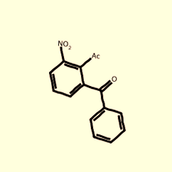 CC(=O)c1c(C(=O)c2ccccc2)cccc1[N+](=O)[O-]